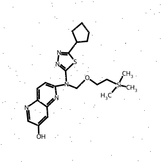 C[Si](C)(C)CCOCN(c1ccc2ncc(O)cc2n1)c1nnc(C2CCCC2)s1